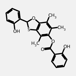 Cc1c(C)c2c(c(C)c1OC(=O)c1ccccc1O)SC(c1ccccc1O)O2